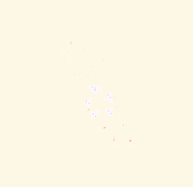 O=P(O)(O)Oc1cc(Cl)cc(CNc2ncnc3c2ncn3[C@@H]2O[C@H](CO)[C@@H](O)[C@H]2O)c1